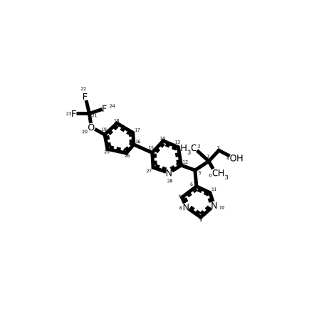 CC(C)(CO)C(c1cncnc1)c1ccc(-c2ccc(OC(F)(F)F)cc2)cn1